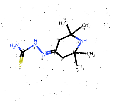 CC1(C)CC(=NNC(N)=S)CC(C)(C)N1